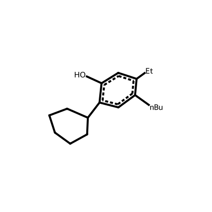 CCCCc1cc(C2CCCCC2)c(O)cc1CC